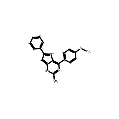 COc1ccc(-c2nc(C)[nH]c3cc(-c4ccccc4)nc2-3)cc1